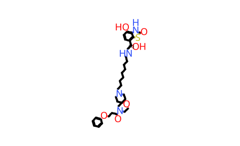 O=C(CCOc1ccccc1)N1CCOC2(CCN(CCCCCCCCCNC[C@H](O)c3ccc(O)c4[nH]c(=O)sc34)CC2)C1